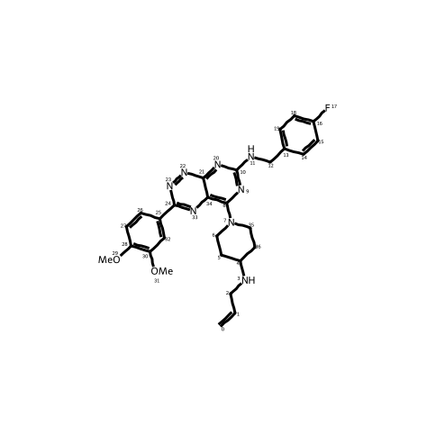 C=CCNC1CCN(c2nc(NCc3ccc(F)cc3)nc3nnc(-c4ccc(OC)c(OC)c4)nc23)CC1